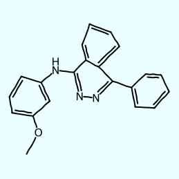 COc1cccc(Nc2nnc(-c3ccccc3)c3ccccc23)c1